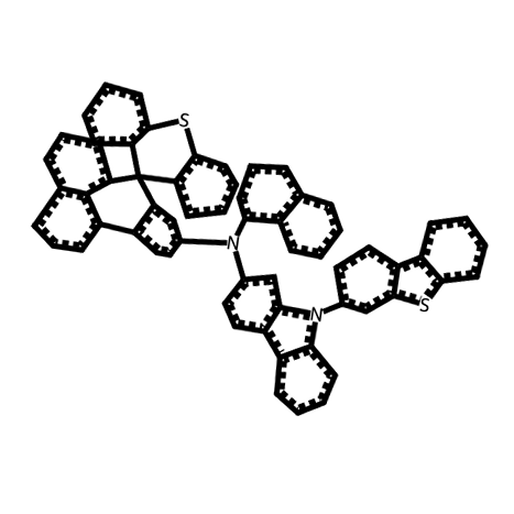 c1ccc2c(c1)Sc1ccccc1C21c2cc(N(c3ccc4c5ccccc5n(-c5ccc6c(c5)sc5ccccc56)c4c3)c3cccc4ccccc34)ccc2-c2cccc3cccc1c23